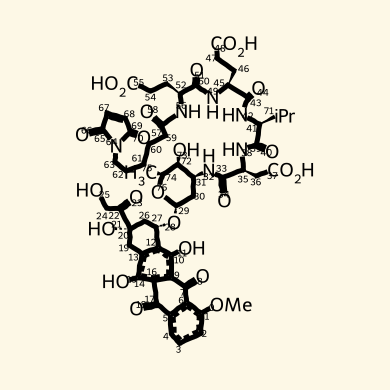 COc1cccc2c1C(=O)c1c(O)c3c(c(O)c1C2=O)C[C@@](O)(C(=O)CO)C[C@@H]3O[C@H]1C[C@H](NC(=O)[C@H](CC(=O)O)NC(=O)[C@@H](NC(=O)[C@H](CCC(=O)O)NC(=O)[C@H](CCC(=O)O)NC(=O)CCCCCN2C(=O)C=CC2=O)C(C)C)[C@H](O)[C@H](C)O1